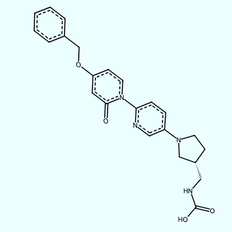 O=C(O)NC[C@H]1CCN(c2ccc(-n3ccc(OCc4ccccc4)cc3=O)nc2)C1